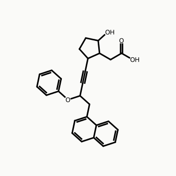 O=C(O)CC1C(O)CCC1C#CC(Cc1cccc2ccccc12)Oc1ccccc1